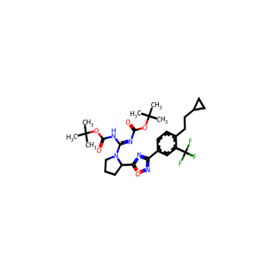 CC(C)(C)OC(=O)N=C(NC(=O)OC(C)(C)C)N1CCCC1c1nc(-c2ccc(CCC3CC3)c(C(F)(F)F)c2)no1